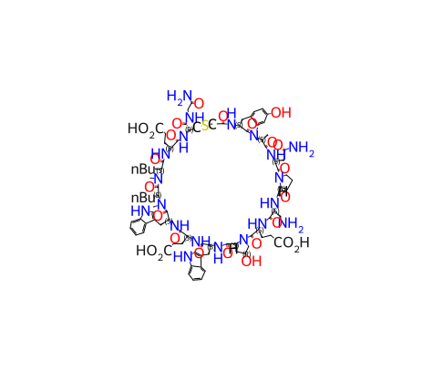 CCCC[C@H]1C(=O)N(C)[C@@H](CCCC)C(=O)N[C@@H](CCC(=O)O)C(=O)N[C@H](C(=O)NCC(N)=O)CSCC(=O)N[C@@H](Cc2ccc(O)cc2)C(=O)N(C)[C@@H](C)C(=O)N[C@@H](CC(N)=O)C(=O)N2CCC[C@H]2C(=O)N[C@@H](CN)C(=O)N[C@@H](CCC(=O)O)C(=O)N2C[C@H](O)C[C@H]2C(=O)N[C@@H](Cc2c[nH]c3ccccc23)C(=O)N[C@@H](CCC(=O)O)C(=O)N[C@@H](Cc2c[nH]c3ccccc23)C(=O)N1C